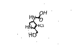 Cl.O=C(O)N[C@@H]1CN[C@H](CO)C1